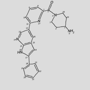 NC1CCN(C(=O)c2cccc(-c3cnc4[nH]c(-c5ccccc5)cc4c3)n2)CC1